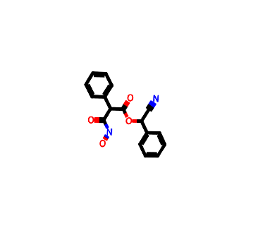 N#CC(OC(=O)C(C(=O)N=O)c1ccccc1)c1ccccc1